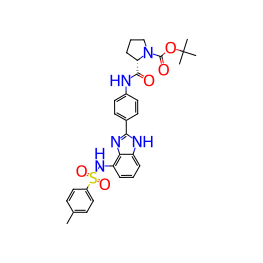 Cc1ccc(S(=O)(=O)Nc2cccc3[nH]c(-c4ccc(NC(=O)[C@@H]5CCCN5C(=O)OC(C)(C)C)cc4)nc23)cc1